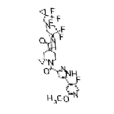 COc1cc(-c2cc(C(=O)N3CC[C@H](C(=O)N[C@H]4CN(CC5(C(F)(F)F)CC5)CC4(F)F)CC34CC4)n[nH]2)c(F)cn1